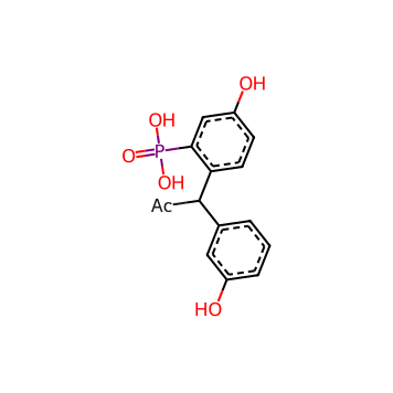 CC(=O)C(c1cccc(O)c1)c1ccc(O)cc1P(=O)(O)O